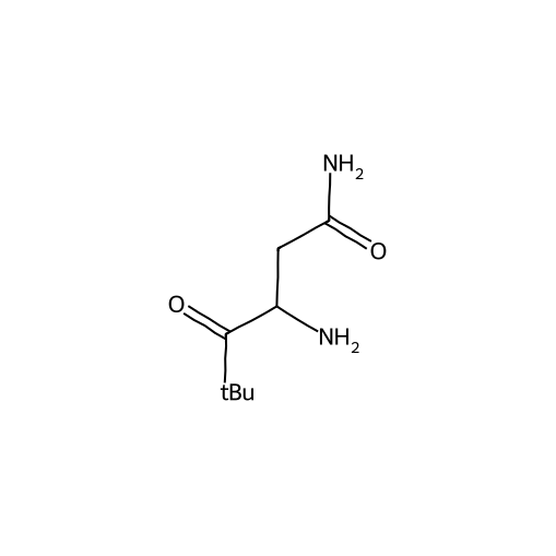 CC(C)(C)C(=O)C(N)CC(N)=O